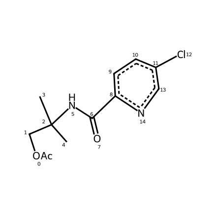 CC(=O)OCC(C)(C)NC(=O)c1ccc(Cl)cn1